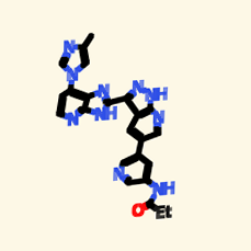 CCC(=O)Nc1cncc(-c2cnc3[nH]nc(-c4nc5c(-n6cnc(C)c6)ccnc5[nH]4)c3c2)c1